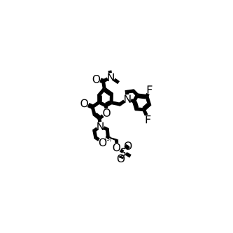 CN(C)C(=O)c1cc(CN2CCc3c(F)cc(F)cc32)c2oc(N3CCO[C@H](COS(C)(=O)=O)C3)cc(=O)c2c1